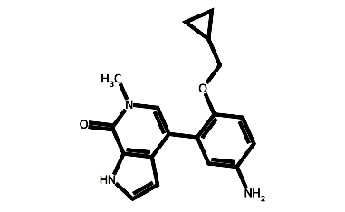 Cn1cc(-c2cc(N)ccc2OCC2CC2)c2cc[nH]c2c1=O